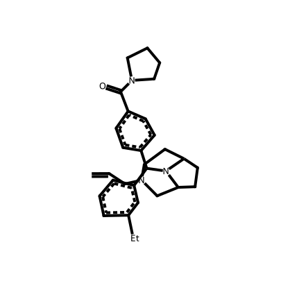 C=CCN1CCC2CCC(C1)N2C(c1ccc(C(=O)N2CCCC2)cc1)c1cccc(CC)c1